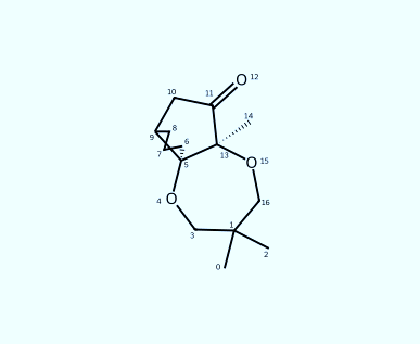 CC1(C)CO[C@@]23CCCC2CC(=O)[C@@]3(C)OC1